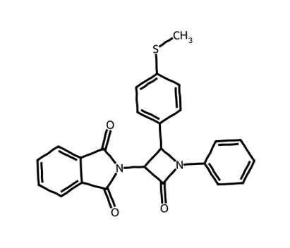 CSc1ccc(C2C(N3C(=O)c4ccccc4C3=O)C(=O)N2c2ccccc2)cc1